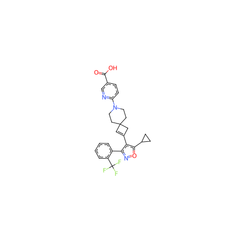 O=C(O)c1ccc(N2CCC3(C=C(c4c(-c5ccccc5C(F)(F)F)noc4C4CC4)C3)CC2)nc1